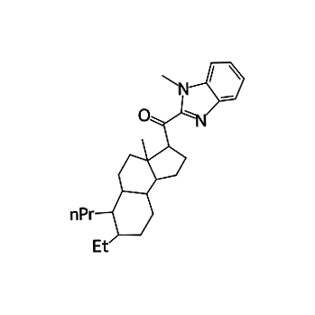 CCCC1C(CC)CCC2C1CCC1(C)C(C(=O)c3nc4ccccc4n3C)CCC21